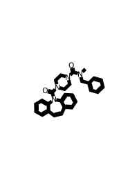 CN(Cc1ccccc1)C(=O)N1CCN(C(=O)N2c3ccccc3C=Cc3ccccc32)CC1